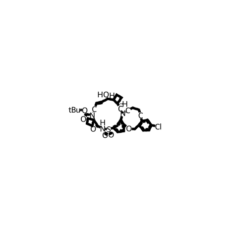 CC(C)(C)OC(=O)N1C/C=C/[C@H](O)[C@@H]2CC[C@H]2CN2CCCCc3cc(Cl)ccc3COc3ccc(cc32)S(=O)(=O)NC(=O)C12CCC2